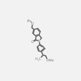 COCC(C)c1ccc(N2Cc3ccc(COC(C)C)cc3C2=O)cc1